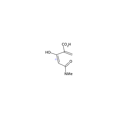 C=C(C(=O)O)/C(O)=C\C(=O)NC